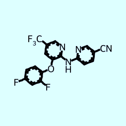 N#Cc1ccc(Nc2ncc(C(F)(F)F)cc2Oc2ccc(F)cc2F)nc1